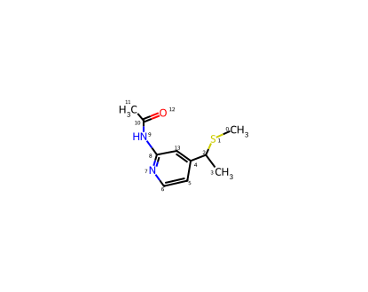 CSC(C)c1ccnc(NC(C)=O)c1